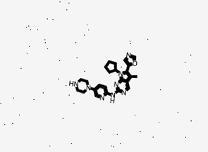 Cc1c(-c2cnco2)n(C2CCCC2)c2nc(Nc3ccc(N4CCNCC4)cn3)ncc12